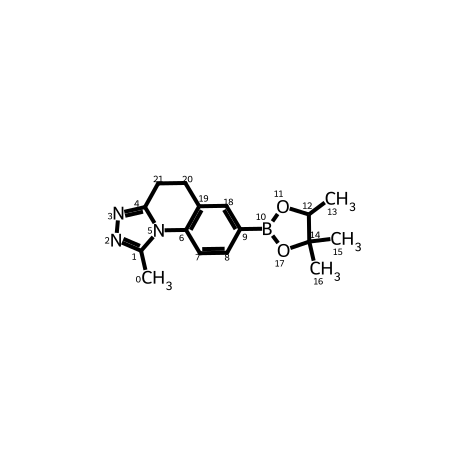 Cc1nnc2n1-c1ccc(B3OC(C)C(C)(C)O3)cc1CC2